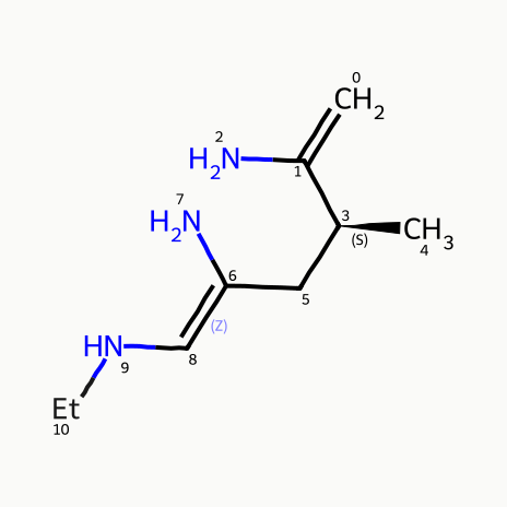 C=C(N)[C@@H](C)C/C(N)=C/NCC